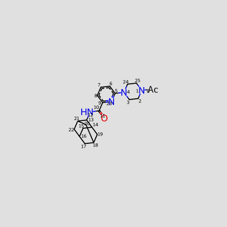 CC(=O)N1CCN(c2cccc(C(=O)NC3C4CC5CC(C4)CC3C5)n2)CC1